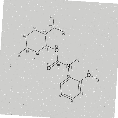 COc1ccccc1N(C)C(=O)OC1CC(C)CCC1C(C)C